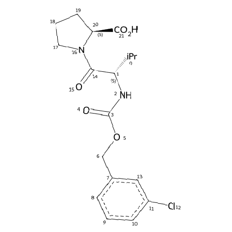 CC(C)[C@H](NC(=O)OCc1cccc(Cl)c1)C(=O)N1CCC[C@H]1C(=O)O